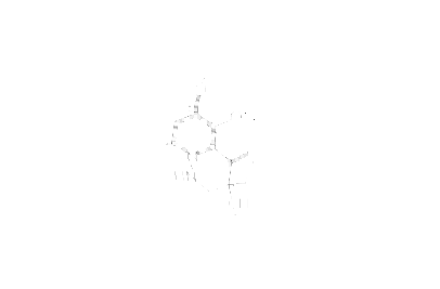 CC1(C)CNn2ccc(=O)c(O)c2C1=O